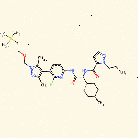 CCCn1nccc1C(=O)N[C@H](C(=O)Nc1ccc(-c2c(C)nn(COCCS(C)(C)C)c2C)c(F)n1)[C@H]1CC[C@H](C)CC1